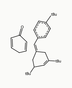 CC(C)(C)C1=CC(C(C)(C)C)CC(=Cc2ccc(C(C)(C)C)cc2)C1.O=C1C=CCC=C1